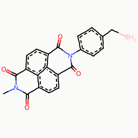 BCc1ccc(N2C(=O)c3ccc4c5c(ccc(c35)C2=O)C(=O)N(C)C4=O)cc1